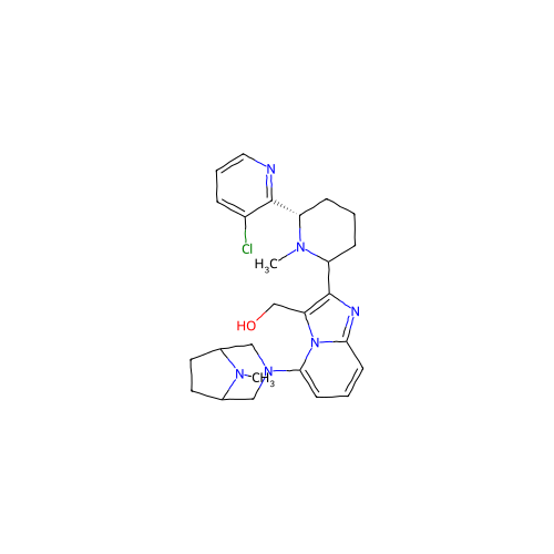 CN1C2CCC1CN(c1cccc3nc(C4CCC[C@@H](c5ncccc5Cl)N4C)c(CO)n13)C2